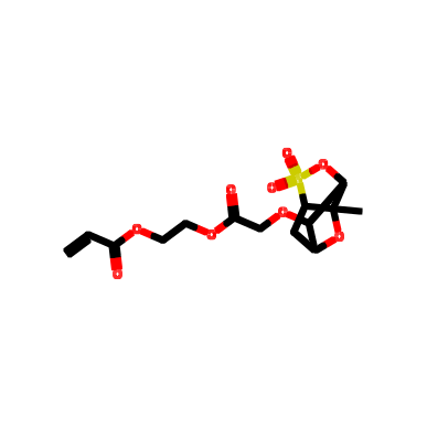 C=CC(=O)OCCOC(=O)COC1C2CC3C(C)(O2)C1OS3(=O)=O